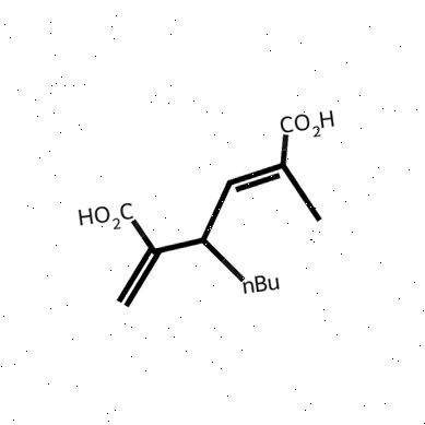 C=C(C(=O)O)C(C=C(C)C(=O)O)CCCC